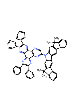 CC1(C)c2ccccc2-c2cc3c4cc5c(cc4n(-c4cnc6c(n4)c4nc(-c7ccccc7)c(-c7ccccc7)nc4c4nc(-c7ccccc7)c(-c7ccccc7)nc64)c3cc21)C(C)(C)c1ccccc1-5